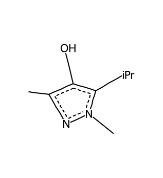 Cc1nn(C)c(C(C)C)c1O